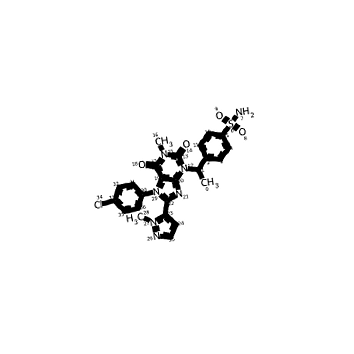 CC(c1ccc(S(N)(=O)=O)cc1)n1c(=O)n(C)c(=O)c2c1nc(-c1ccnn1C)n2-c1ccc(Cl)cc1